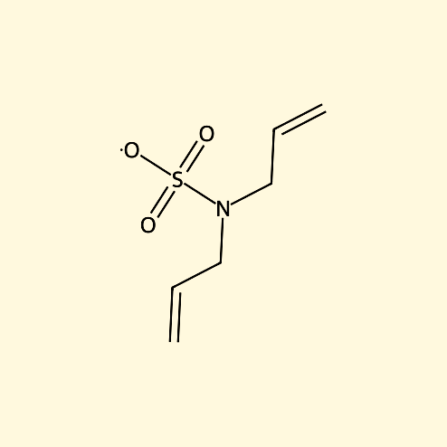 C=CCN(CC=C)S([O])(=O)=O